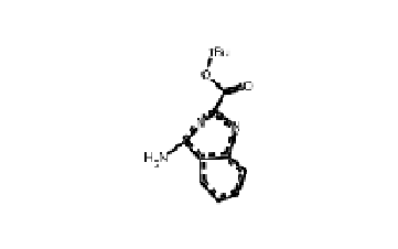 CC(C)(C)OC(=O)c1nc(N)c2ccccc2n1